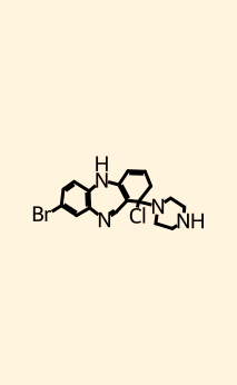 ClC1(N2CCNCC2)CC=CC2=C1C=Nc1cc(Br)ccc1N2